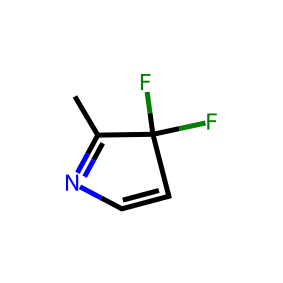 CC1=NC=CC1(F)F